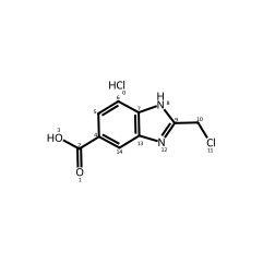 Cl.O=C(O)c1ccc2[nH]c(CCl)nc2c1